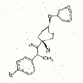 CCc1ccc(C(C)C(=O)[C@]2(CC)CC[C@@H](Oc3ccccc3)CC2)cc1